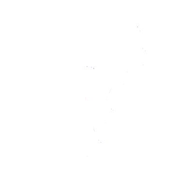 Cc1nnc2sc(C(O)NC3CN(C(=O)c4ccccc4)C3)c(N)c2c1C